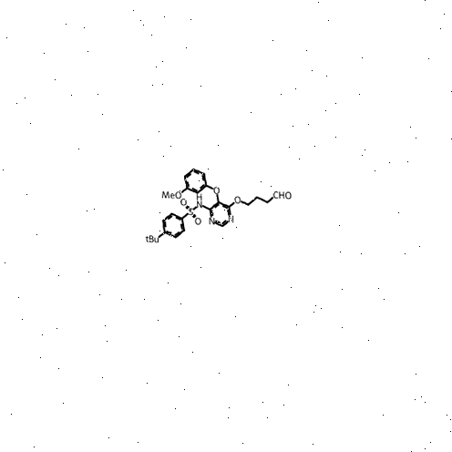 COc1cccc(Oc2c(NS(=O)(=O)c3ccc(C(C)(C)C)cc3)ncnc2OCCCC=O)c1